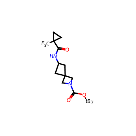 CC(C)(C)OC(=O)N1CC2(CC(NC(=O)C3(C(F)(F)F)CC3)C2)C1